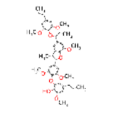 CCCc1cc(OC)c(O)c(Oc2c(OC)cc(C3Oc4c(OC)cc(C(CC)Oc5c(OC)cc(CCC)cc5OC)cc4C3C)cc2OC)c1